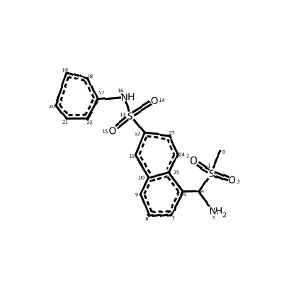 CS(=O)(=O)C(N)c1cccc2cc(S(=O)(=O)Nc3ccccc3)ccc12